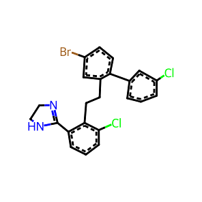 Clc1cccc(-c2ccc(Br)cc2CCc2c(Cl)cccc2C2=NCCN2)c1